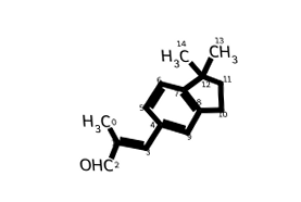 C/C(C=O)=C\c1ccc2c(c1)CCC2(C)C